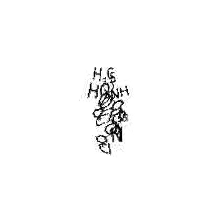 CSCCC(NC(=O)c1ccc(COCc2cnc(-c3cccc(Cl)c3)o2)cc1-c1ccccc1C)C(=O)O